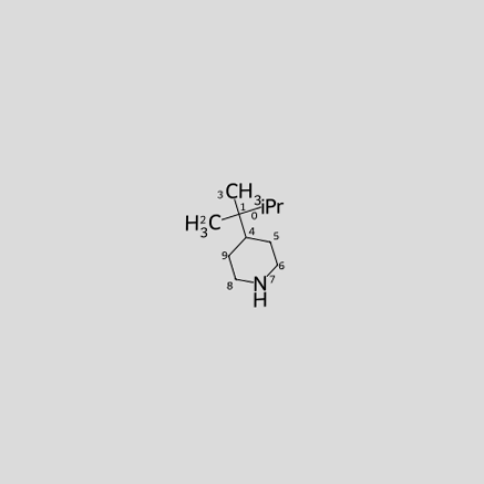 CC(C)C(C)(C)C1CCNCC1